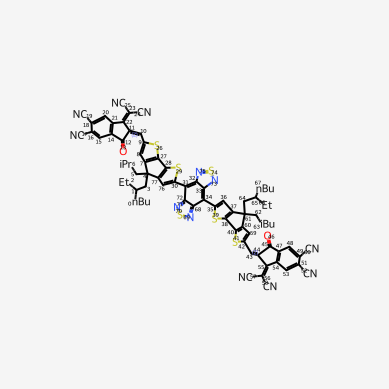 CCCCC(CC)CC1(CC(C)C)c2cc(/C=C3\C(=O)c4cc(C#N)c(C#N)cc4C3=C(C#N)C#N)sc2-c2sc(-c3c4c(c(-c5cc6c(s5)-c5sc(/C=C7\C(=O)c8cc(C#N)c(C#N)cc8C7=C(C#N)C#N)cc5C6(CC(C)CC)CC(CC)CCCC)c5nsnc35)N=S=N4)cc21